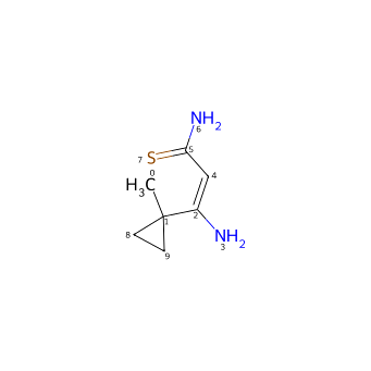 CC1(/C(N)=C\C(N)=S)CC1